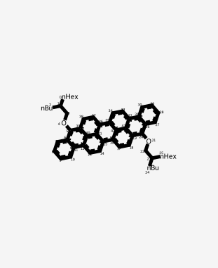 CCCCCCC(CCCC)COc1c2ccccc2c2ccc3c4ccc5c(OCC(CCCC)CCCCCC)c6ccccc6c6ccc(c7ccc1c2c73)c4c56